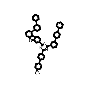 N#Cc1ccc(-c2ccc(-c3nc(-c4cccc(-c5ccc(-c6ccccc6)cc5)c4)nc(-c4ccc5c(c4)oc4cccc(-c6cccc(-c7ccccc7)c6)c45)n3)cc2)cc1